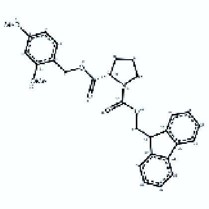 COc1ccc(COC(=O)[C@@H]2CCCN2C(=O)OCC2c3ccccc3-c3ccccc32)c(OC)c1